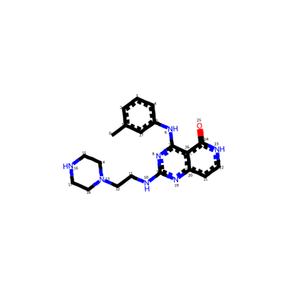 Cc1cccc(Nc2nc(NCCN3CCNCC3)nc3cc[nH]c(=O)c23)c1